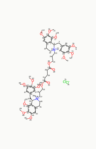 COc1cc(CC2c3c(cc(OC)c(OC)c3OC)CC[N+]2(C)CCCOC(=O)CCCC(=O)OCCC[N@+]2(C)CCc3cc(OC)c(OC)c(OC)c3[C@H]2Cc2cc(OC)c(OC)c(OC)c2)cc(OC)c1OC.[Cl-].[Cl-]